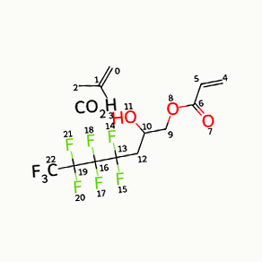 C=C(C)C(=O)O.C=CC(=O)OCC(O)CC(F)(F)C(F)(F)C(F)(F)C(F)(F)F